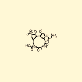 COc1ccc2cc1-c1cc(cc([N+](=O)[O-])c1OC)C[C@@H](C(=O)O)NC(=O)[C@H](C)NC(=O)[C@H]2N(C)C(=O)CN